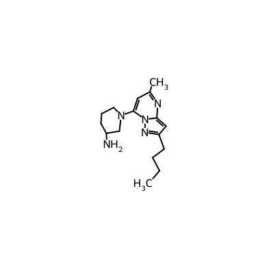 CCCCc1cc2nc(C)cc(N3CCCC(N)C3)n2n1